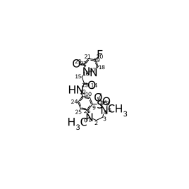 CN1CCN(C)S(=O)(=O)c2cc(NC(=O)Cn3ncc(F)cc3=O)ccc21